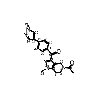 CC(=O)N1CCc2c(c(C(=O)c3ccc(-c4cnn(C)c4)cc3)nn2C)C1